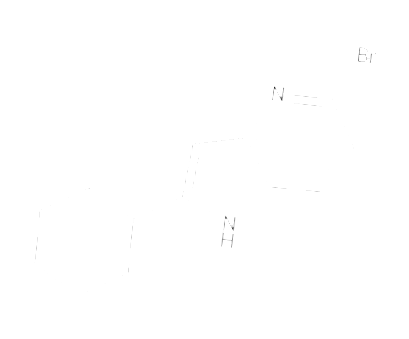 Brc1ccc2[nH]c(C3CCCCC3)cc2n1